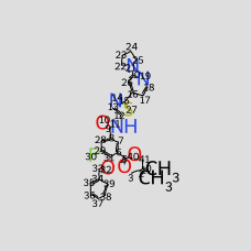 CC1(C)COC(c2cc(C(=O)Nc3cnc(-c4ccnc(N5CCCC5)c4)s3)cc(F)c2OCc2ccccc2)OC1